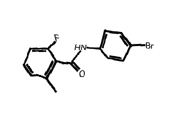 Cc1cccc(F)c1C(=O)Nc1ccc(Br)cc1